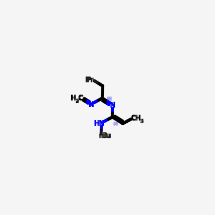 C=N/C(CC(C)C)=N\C(=C/C)NCCCC